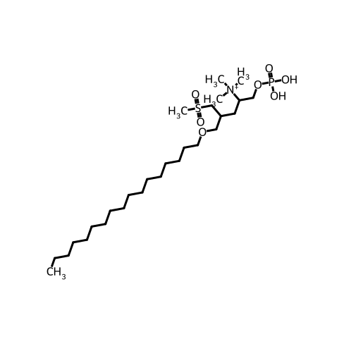 CCCCCCCCCCCCCCCCCOCC(CC(COP(=O)(O)O)[N+](C)(C)C)CS(C)(=O)=O